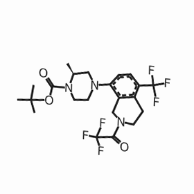 C[C@H]1CN(c2ccc(C(F)(F)F)c3c2CN(C(=O)C(F)(F)F)CC3)CCN1C(=O)OC(C)(C)C